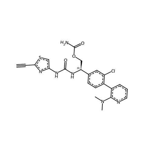 C#Cc1nc(NC(=O)N[C@@H](COC(N)=O)c2ccc(-c3cccnc3N(C)C)c(Cl)c2)cs1